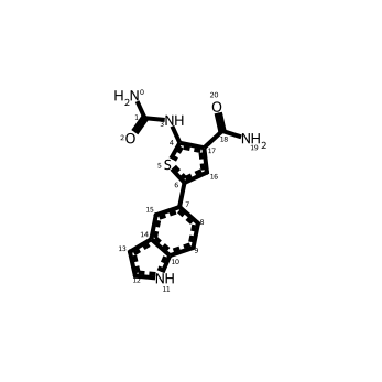 NC(=O)Nc1sc(-c2ccc3[nH]ccc3c2)cc1C(N)=O